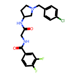 O=C(CNC(=O)c1ccc(F)c(F)c1)NC1CCN(Cc2ccc(Cl)cc2)C1